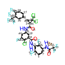 O=C(Nc1c(F)ccc(NC(=O)C(F)(F)Br)c1F)c1cc(NC(=O)[C@H]2[C@H](c3ccc(F)c(C(F)(F)F)c3)C2(Cl)Cl)cc(F)c1Cl